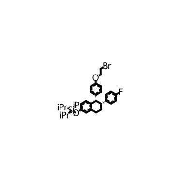 CC(C)[Si](Oc1ccc2c(c1)CC[C@@H](c1ccc(F)cc1)[C@H]2c1ccc(OCCBr)cc1)(C(C)C)C(C)C